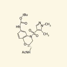 CC(=O)NC[C@H]1CN(S(=O)(=O)c2cnn(C)c2C)c2cc(NC(=O)OC(C)(C)C)ccc2O1